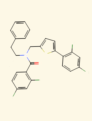 O=C(O)[C@H](Cc1ccccc1)N(Cc1ccc(-c2ccc(Cl)cc2Cl)s1)C(=O)c1ccc(Cl)cc1Cl